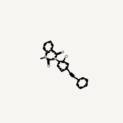 Cn1c(=O)n(-c2ccc(C#Cc3ccccc3)cc2Cl)c(=O)c2ccccc21